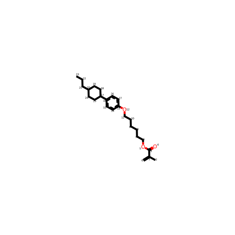 C=C(C)C(=O)OCCCCCCOc1ccc(C2CCC(CCC)CC2)cc1